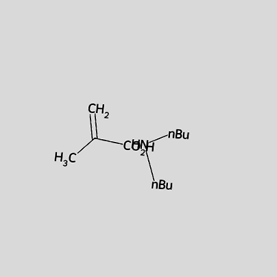 C=C(C)C(=O)O.CCCCNCCCC